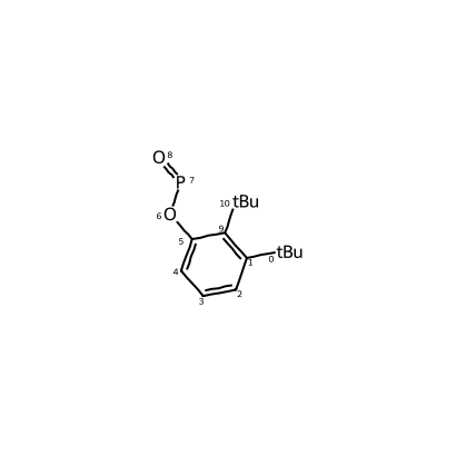 CC(C)(C)c1cccc(OP=O)c1C(C)(C)C